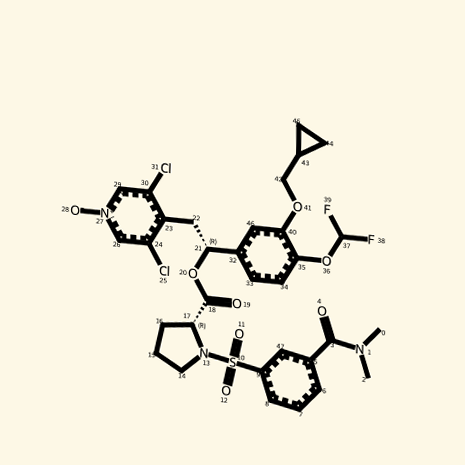 CN(C)C(=O)c1cccc(S(=O)(=O)N2CCC[C@@H]2C(=O)O[C@H](Cc2c(Cl)c[n+]([O-])cc2Cl)c2ccc(OC(F)F)c(OCC3CC3)c2)c1